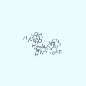 Cn1nc(-c2cnc3[nH]cc(C(=O)NC(C)(C)CO)c3n2)c2ccc(F)cc21